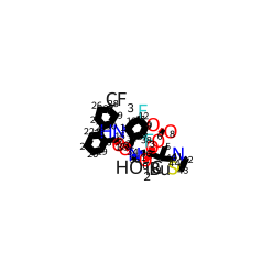 CCC(C)OC(=O)C(COC(=O)Oc1c(F)cc(NC(=O)c2ccccc2-c2ccc(C(F)(F)F)cc2)c(C(=O)N(C)C)c1F)(C(=O)O)c1nccs1